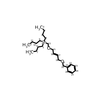 CCC[CH2][Sn]([CH2]CCC)([CH2]CCC)[CH2]OCC=CCOCc1ccccc1